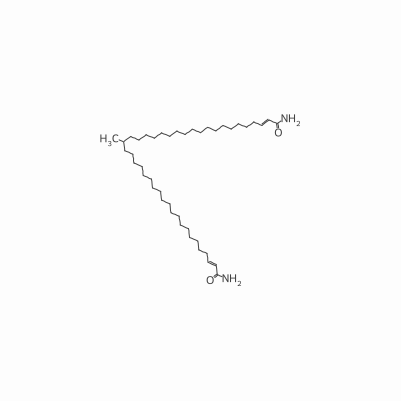 CC(CCCCCCCCCCCCCCCCCC=CC(N)=O)CCCCCCCCCCCCCCCCCCC=CC(N)=O